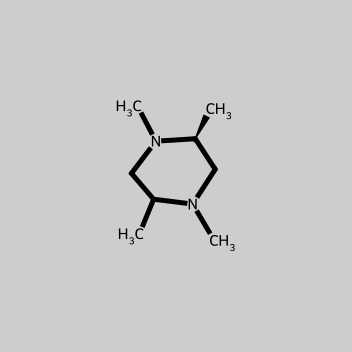 CC1CN(C)[C@@H](C)CN1C